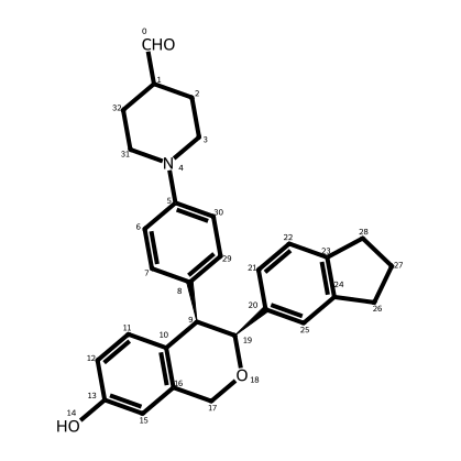 O=CC1CCN(c2ccc([C@@H]3c4ccc(O)cc4CO[C@@H]3c3ccc4c(c3)CCC4)cc2)CC1